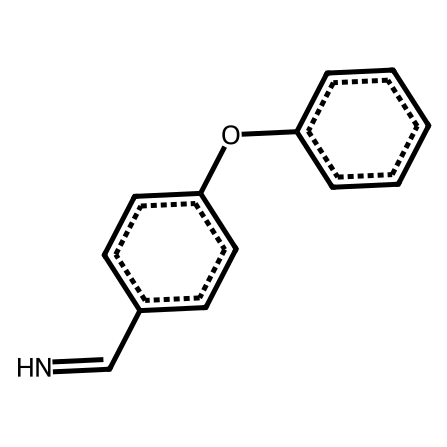 N=Cc1ccc(Oc2ccccc2)cc1